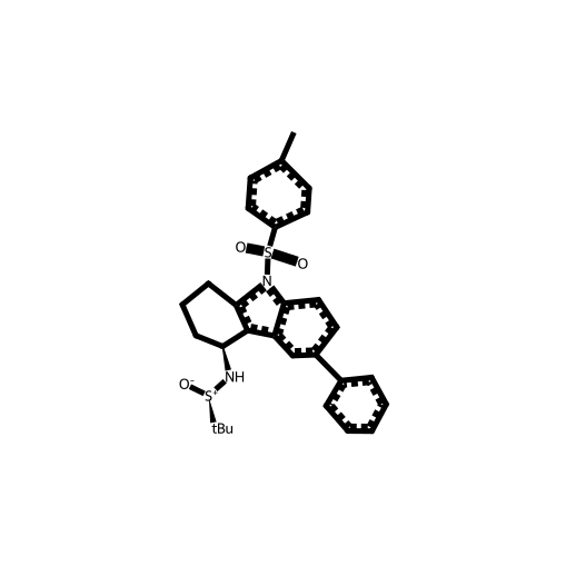 Cc1ccc(S(=O)(=O)n2c3c(c4cc(-c5ccccc5)ccc42)[C@@H](N[S@+]([O-])C(C)(C)C)CCC3)cc1